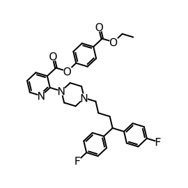 CCOC(=O)c1ccc(OC(=O)c2cccnc2N2CCN(CCCC(c3ccc(F)cc3)c3ccc(F)cc3)CC2)cc1